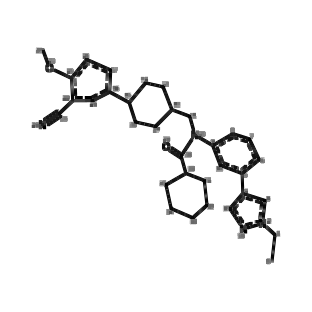 CCn1cc(-c2cccc(N(CC3CCC(c4ccc(OC)c(C#N)c4)CC3)C(=O)C3CCCCC3)c2)cn1